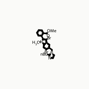 CCCCc1nccn1Cc1cc2c(Br)c(-c3ccccc3C(=O)OC)n(C)c2cc1Br